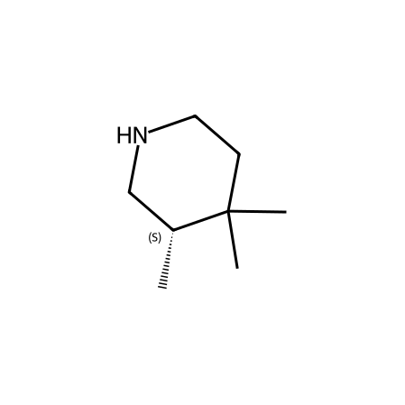 C[C@@H]1CNCCC1(C)C